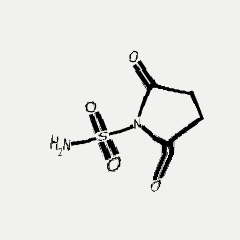 NS(=O)(=O)N1C(=O)CCC1=O